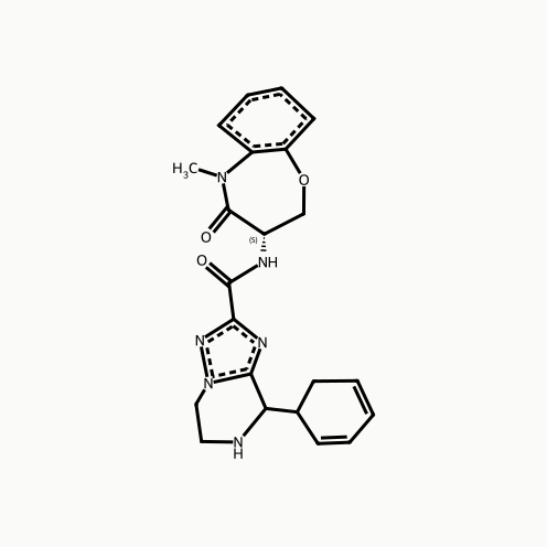 CN1C(=O)[C@@H](NC(=O)c2nc3n(n2)CCNC3C2C=CC=CC2)COc2ccccc21